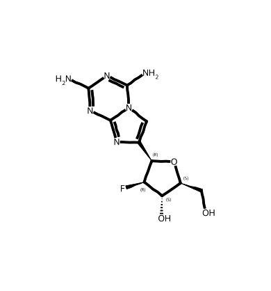 Nc1nc(N)n2cc([C@H]3O[C@@H](CO)[C@H](O)[C@H]3F)nc2n1